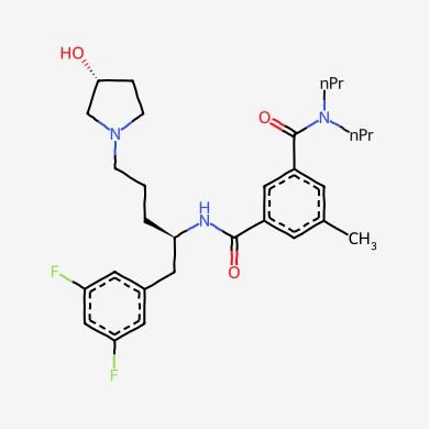 CCCN(CCC)C(=O)c1cc(C)cc(C(=O)N[C@H](CCCN2CC[C@@H](O)C2)Cc2cc(F)cc(F)c2)c1